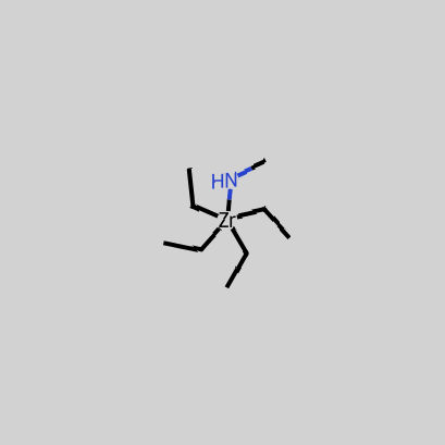 C[CH2][Zr]([CH2]C)([CH2]C)([CH2]C)[NH]C